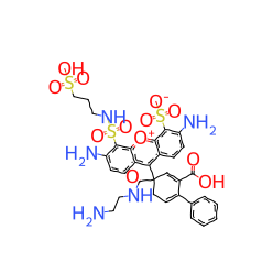 NCCNC(=O)C1(c2c3ccc(N)c(S(=O)(=O)[O-])c3[o+]c3c(S(=O)(=O)NCCCS(=O)(=O)O)c(N)ccc23)C=C(C(=O)O)C(c2ccccc2)=CC1